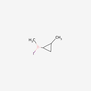 CB(I)C1CC1C